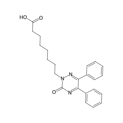 O=C(O)CCCCCCCn1nc(-c2ccccc2)c(-c2ccccc2)nc1=O